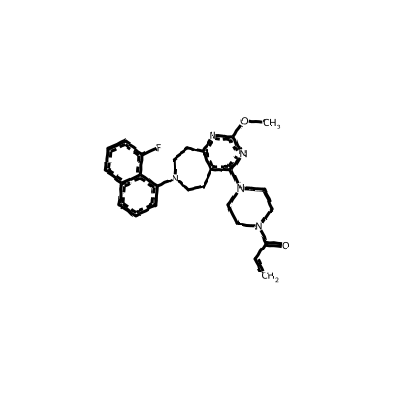 C=CC(=O)N1CCN(c2nc(OC)nc3c2CCN(c2cccc4cccc(F)c24)CC3)CC1